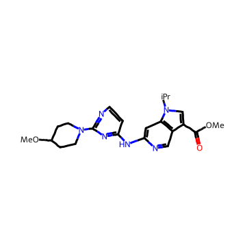 COC(=O)c1cn(C(C)C)c2cc(Nc3ccnc(N4CCC(OC)CC4)n3)ncc12